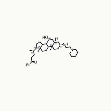 CCC(=O)CC[C@@H](C)[C@H]1CCC2C3C(CC[C@@]21C)[C@@]1(C)CC[C@H](NCCN2CCCCC2)C[C@@H]1C[C@H]3O